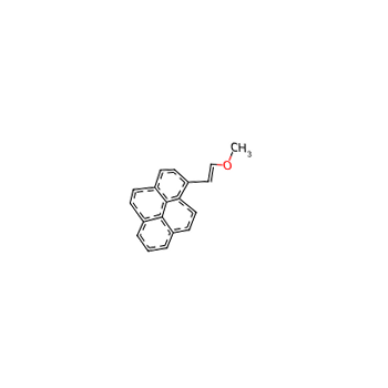 COC=Cc1ccc2ccc3cccc4ccc1c2c34